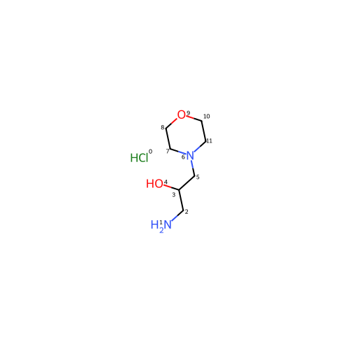 Cl.NCC(O)CN1CCOCC1